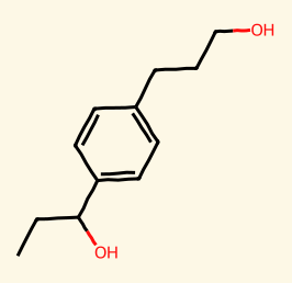 CCC(O)c1ccc(CCCO)cc1